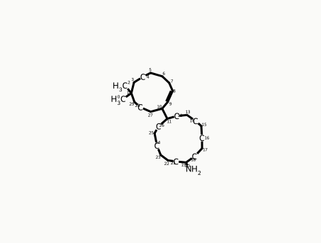 CC1(C)CCCCC/C=C\C(C2CCCCCCCC(N)CCCCCC2)CCC1